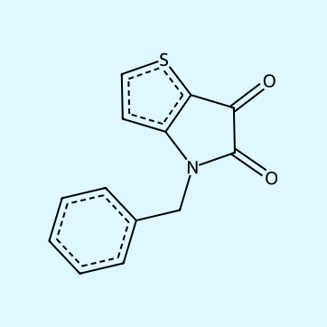 O=C1C(=O)N(Cc2ccccc2)c2ccsc21